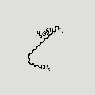 CCCCC/C=C\C/C=C\CCCCCCCCCC(CCCC)N(C)C